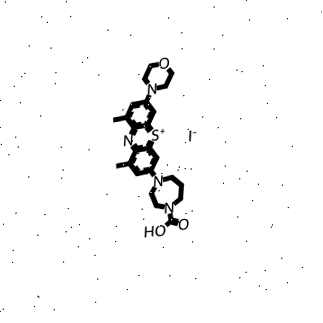 Cc1cc(N2CCOCC2)cc2[s+]c3cc(N4CCCN(C(=O)O)CC4)cc(C)c3nc12.[I-]